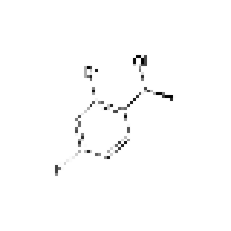 C[C@H](O)c1ccc(F)cc1Br